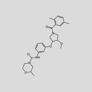 COC1CN(C(=O)c2cc(C)ccc2C)CC1Oc1cccc(N[S+]([O-])N2CCOC(C)C2)c1